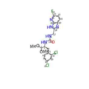 COC(OC)[C@H](Cc1ccc(Cl)cc1Cl)NC(=O)NCc1nc2ccc(F)nc2[nH]1